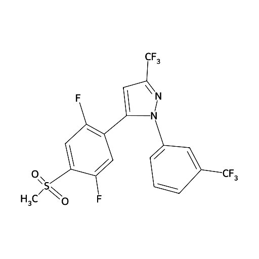 CS(=O)(=O)c1cc(F)c(-c2cc(C(F)(F)F)nn2-c2cccc(C(F)(F)F)c2)cc1F